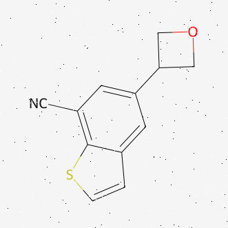 N#Cc1cc(C2COC2)cc2ccsc12